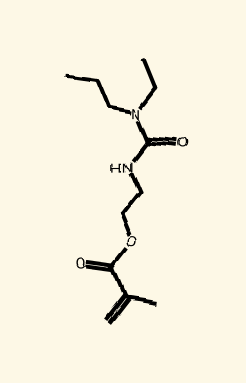 C=C(C)C(=O)OCCNC(=O)N(CC)CCC